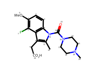 COc1ccc2c(c1F)c(CC(=O)O)c(C)n2C(=O)N1CCN(C)CC1